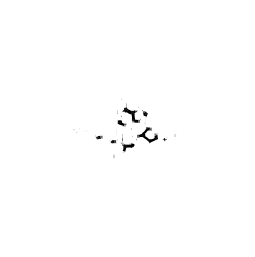 CCCC(NCOCOC)C(=O)NC1[C@@H](O)[C@@H](CO)O[C@H]1n1cnc2c(N)ncnc21